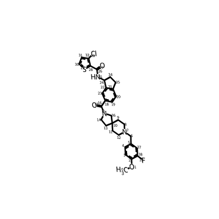 COc1ccc(CN2CCC3(CC2)CCN(C(=O)c2ccc4c(c2)C(NC(=O)c2sccc2Cl)CC4)C3)cc1F